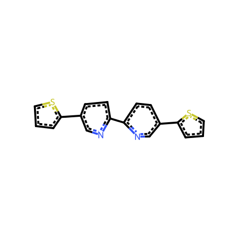 c1csc(-c2ccc(-c3ccc(-c4cccs4)cn3)nc2)c1